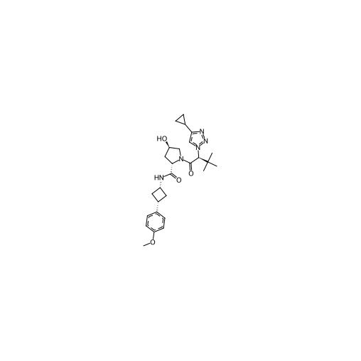 COc1ccc([C@H]2C[C@@H](NC(=O)[C@@H]3C[C@@H](O)CN3C(=O)[C@@H](n3cc(C4CC4)nn3)C(C)(C)C)C2)cc1